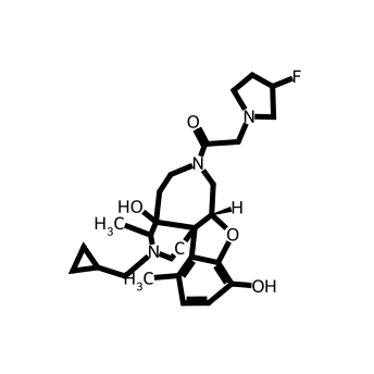 Cc1ccc(O)c2c1C13CCN(CC4CC4)C(C)C1(O)CCN(C(=O)CN1CCC(F)C1)C[C@@H]3O2